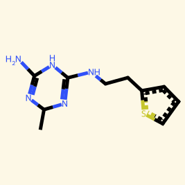 CC1N=C(N)NC(NCCc2cccs2)=N1